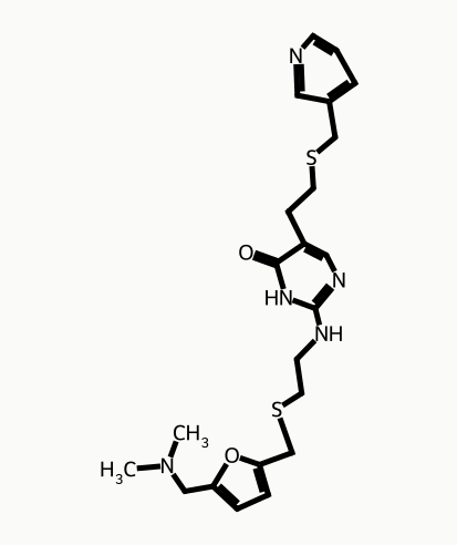 CN(C)Cc1ccc(CSCCNc2ncc(CCSCc3cccnc3)c(=O)[nH]2)o1